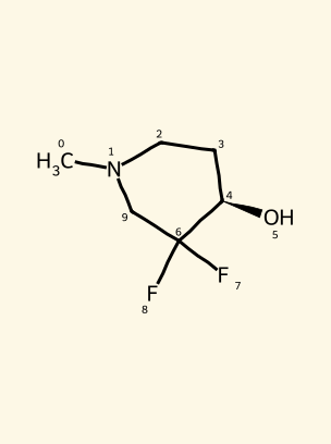 CN1CC[C@@H](O)C(F)(F)C1